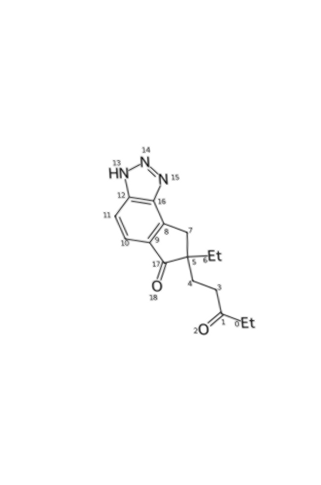 CCC(=O)CCC1(CC)Cc2c(ccc3[nH]nnc23)C1=O